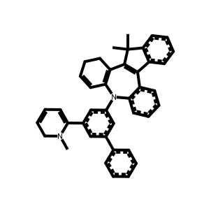 CN1CC=CC=C1c1cc(-c2ccccc2)cc(N2C3=C(CCC=C3)C3=C(c4ccccc42)c2ccccc2C3(C)C)c1